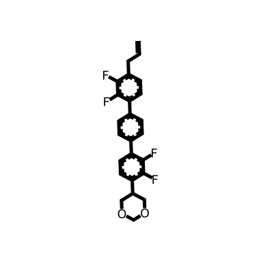 C=CCc1ccc(-c2ccc(-c3ccc(C4COCOC4)c(F)c3F)cc2)c(F)c1F